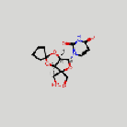 O=c1ccn([C@@H]2OC(CO)(CO)[C@H]3OC4(CCCC4)O[C@@H]23)c(=O)[nH]1